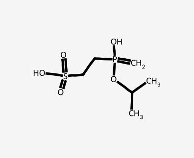 C=P(O)(CCS(=O)(=O)O)OC(C)C